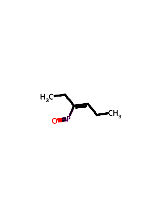 CCC=C(CC)P=O